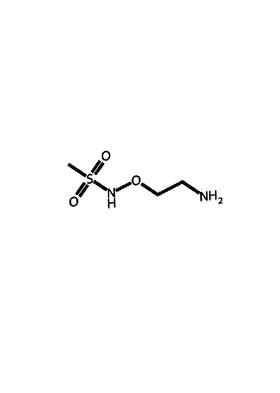 CS(=O)(=O)NOCCN